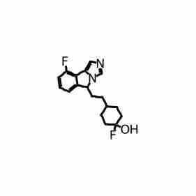 OC1(F)CCC(CCC2c3cccc(F)c3-c3cncn32)CC1